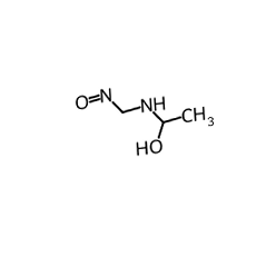 CC(O)NCN=O